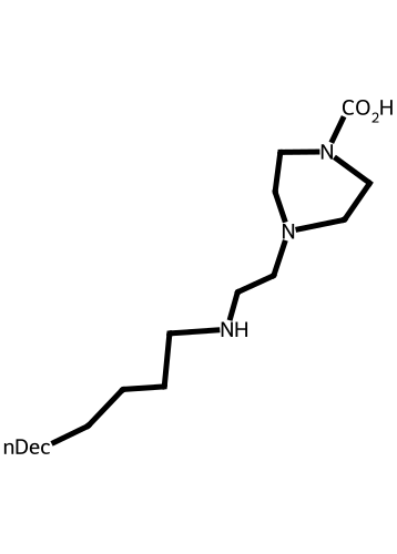 CCCCCCCCCCCCCCNCCN1CCN(C(=O)O)CC1